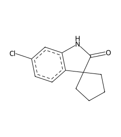 O=C1Nc2cc(Cl)ccc2C12CCCC2